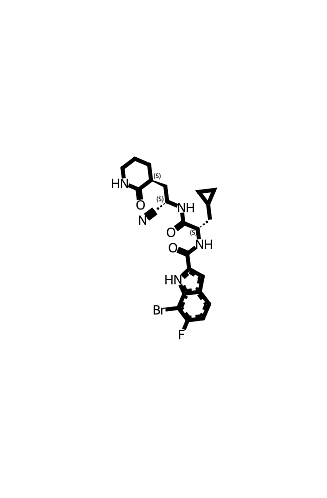 N#C[C@H](C[C@@H]1CCCNC1=O)NC(=O)[C@H](CC1CC1)NC(=O)c1cc2ccc(F)c(Br)c2[nH]1